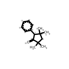 CC1(C)CC(C)(C)C(c2ccccc2)C1=O